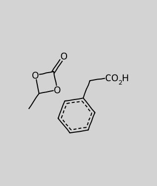 CC1OC(=O)O1.O=C(O)Cc1ccccc1